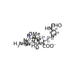 CO/N=C(\C(=O)NC1C(=O)N2C(C(=O)[O-])=C(/C=C/C[n+]3cccc(NC=O)c3)CS[C@H]12)c1nsc(N)n1